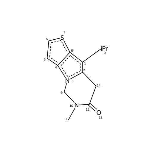 CC(C)c1c2n(c3ccsc13)CN(C)C(=O)C2